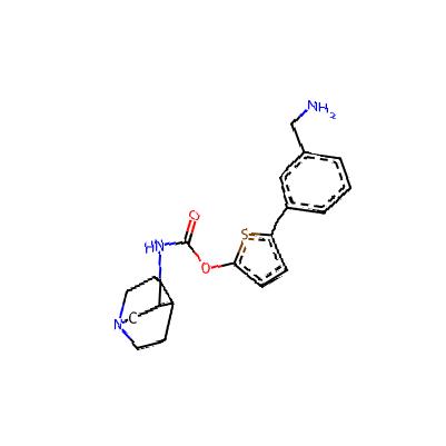 NCc1cccc(-c2ccc(OC(=O)NC3CN4CCC3CC4)s2)c1